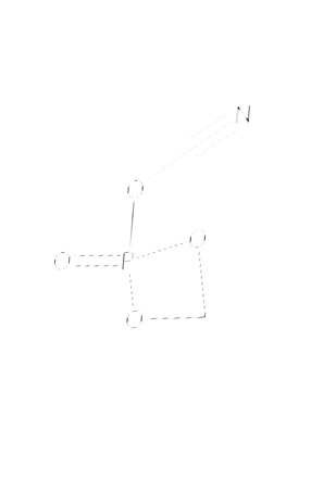 N#COP1(=O)OCO1